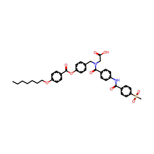 CCCCCCCOc1ccc(C(=O)Oc2ccc(CN(CC(=O)O)C(=O)c3ccc(NC(=O)c4ccc(S(C)(=O)=O)cc4)cc3)cc2)cc1